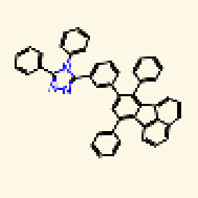 c1ccc(-c2cc(-c3cccc(-c4nnc(-c5ccccc5)n4-c4ccccc4)c3)c(-c3ccccc3)c3c2-c2cccc4cccc-3c24)cc1